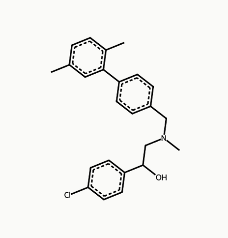 Cc1ccc(C)c(-c2ccc(CN(C)CC(O)c3ccc(Cl)cc3)cc2)c1